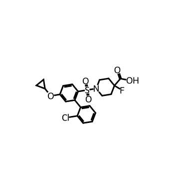 O=C(O)C1(F)CCN(S(=O)(=O)c2ccc(OC3CC3)cc2-c2ccccc2Cl)CC1